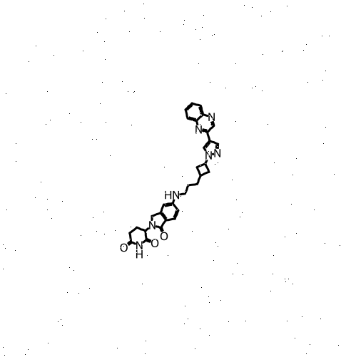 O=C1CCC(N2Cc3cc(NCCCC4CC(n5cc(-c6cnc7ccccc7n6)cn5)C4)ccc3C2=O)C(=O)N1